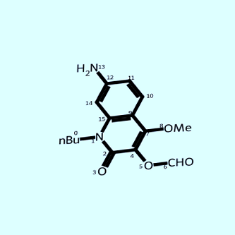 CCCCn1c(=O)c(OC=O)c(OC)c2ccc(N)cc21